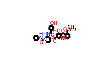 COC(=O)c1cccc(O)c1C(=O)c1c(O)cc(C(=O)OC2=CC=CN(C(=O)Nc3ccccc3)C=C2NC(=O)c2ccc(O)cc2)cc1O